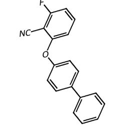 N#Cc1c(F)cccc1Oc1ccc(-c2ccccc2)cc1